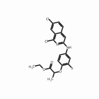 CCOC(=O)C(C)Oc1ccc(Nc2cc3ccc(Cl)cc3c(Cl)n2)cc1F